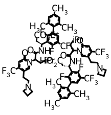 CCOC(=O)C[C@H](NC(=O)C(CC(C)C)n1cc(CCN2CCC2)c(C(F)(F)F)cc1=O)c1c(F)c(-c2c(C)cc(C)cc2C)cc(C(F)(F)F)c1F.Cc1cc(C)c(-c2cc(C(F)(F)F)c(F)c([C@H](CC(=O)O)NC(=O)C(CC(C)C)n3cc(CCN4CCC4)c(C(F)(F)F)cc3=O)c2F)c(C)c1